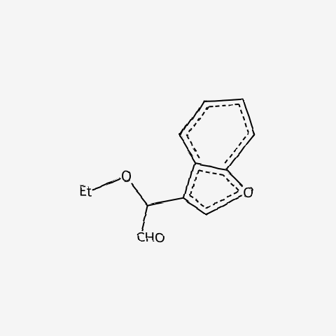 CCOC(C=O)c1coc2ccccc12